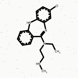 CCN(CCNC)C1=Nc2cc(Cl)ccc2Nc2ccccc21